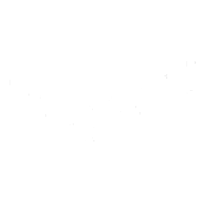 O=S(CS(=O)(=O)OCCC=C(F)F)OCCC=C(F)F